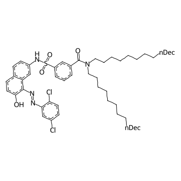 CCCCCCCCCCCCCCCCCCN(CCCCCCCCCCCCCCCCCC)C(=O)c1cccc(S(=O)(=O)Nc2ccc3ccc(O)c(N=Nc4cc(Cl)ccc4Cl)c3c2)c1